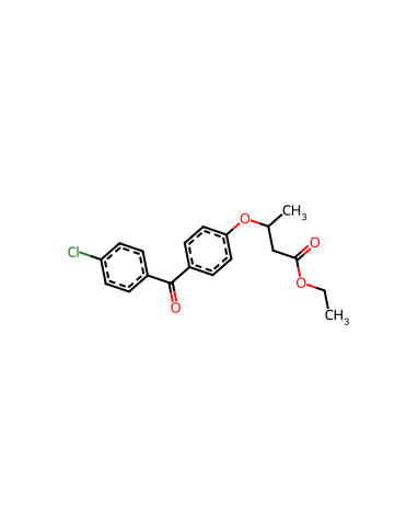 CCOC(=O)CC(C)Oc1ccc(C(=O)c2ccc(Cl)cc2)cc1